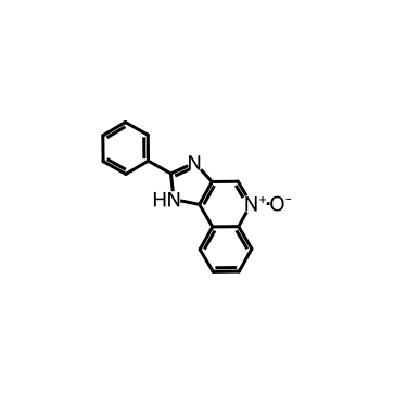 [O-][n+]1cc2nc(-c3ccccc3)[nH]c2c2ccccc21